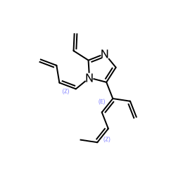 C=C/C=C\n1c(/C(C=C)=C/C=C\C)cnc1C=C